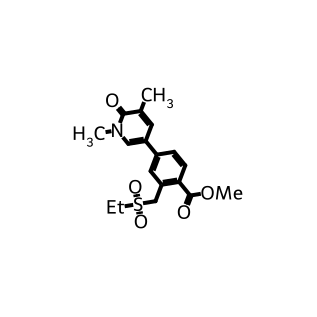 CCS(=O)(=O)Cc1cc(-c2cc(C)c(=O)n(C)c2)ccc1C(=O)OC